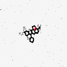 CC1(C)Cc2nc(C3CCCC3)c(Cc3ccc(C(F)(F)F)cc3)c(C3CCCCC3)c2[C@@H](O)C1